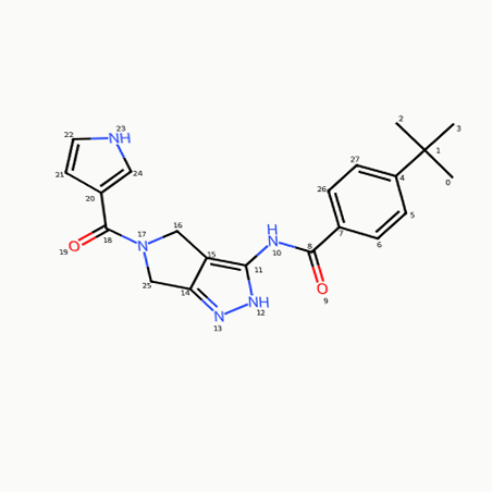 CC(C)(C)c1ccc(C(=O)Nc2[nH]nc3c2CN(C(=O)c2cc[nH]c2)C3)cc1